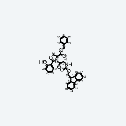 C[C@H](NC(=O)OCC1c2ccccc2-c2ccccc21)C(=O)N1C(C(=O)OCc2ccccc2)COC1c1ccccc1O